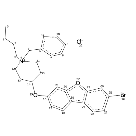 CCCC[N+]1(Cc2ccccc2)CCC(Oc2ccc3c(c2)oc2cc(Br)ccc23)CC1.[Cl-]